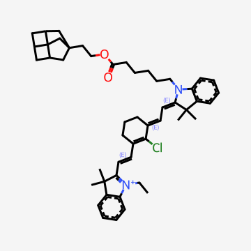 CC[N+]1=C(/C=C/C2=C(Cl)C(=C/C=C3/N(CCCCCC(=O)OCCC45CC6CC7CC(C4)C76C5)c4ccccc4C3(C)C)/CCC2)C(C)(C)c2ccccc21